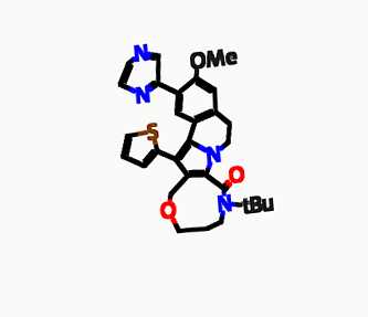 COc1cc2c(cc1-c1cnccn1)-c1c(-c3cccs3)c3c(n1CC2)C(=O)N(C(C)(C)C)CCCOC3